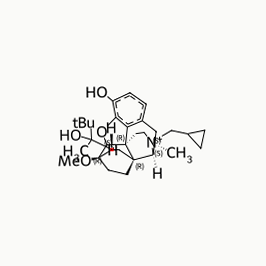 CO[C@]12CC[C@]3(C[C@H]1C(C)(O)C(C)(C)C)[C@@H]1Cc4ccc(O)c5c4[C@]3(CC[N@@+]1(C)CC1CC1)[C@@H]2O5